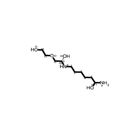 NC(O)CCCCCN[C@@H](O)COCCO